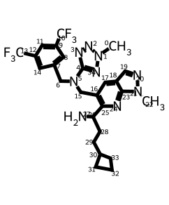 Cn1nnc(N(Cc2cc(C(F)(F)F)cc(C(F)(F)F)c2)Cc2cc3cnn(C)c3nc2C(N)CCC2CCC2)n1